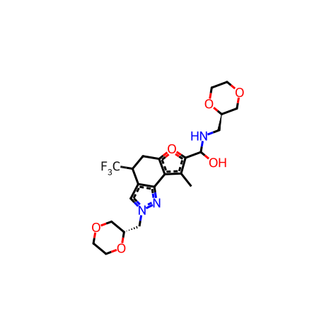 Cc1c(C(O)NC[C@@H]2COCCO2)oc2c1-c1nn(C[C@H]3COCCO3)cc1C(C(F)(F)F)C2